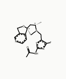 CC(=O)Nc1nc(F)c(CN2C[C@@]3(C[C@@H]2C)OCc2cnccc23)s1